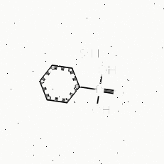 O=P(O)(O)c1ccccc1.[SrH2]